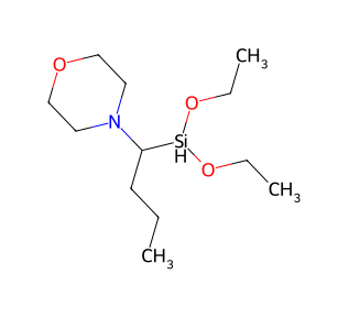 CCCC(N1CCOCC1)[SiH](OCC)OCC